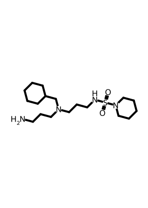 NCCCN(CCCNS(=O)(=O)N1CCCCC1)CC1CCCCC1